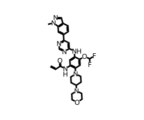 C=CC(=O)Nc1cc(Nc2cc(-c3ccc4cnn(C)c4c3)ncn2)c(OC(F)F)cc1N1CCC(N2CCOCC2)CC1